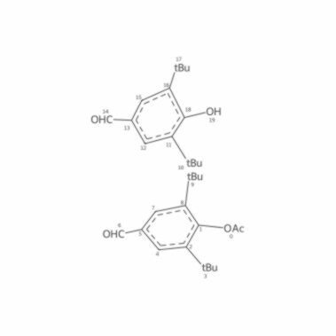 CC(=O)Oc1c(C(C)(C)C)cc(C=O)cc1C(C)(C)C.CC(C)(C)c1cc(C=O)cc(C(C)(C)C)c1O